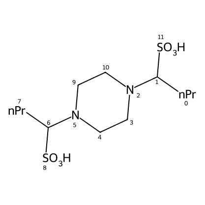 CCCC(N1CCN(C(CCC)S(=O)(=O)O)CC1)S(=O)(=O)O